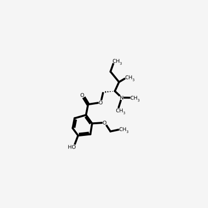 CCOc1cc(O)ccc1C(=O)OC[C@H](C(C)CC)N(C)C